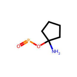 NC1(OP=O)CCCC1